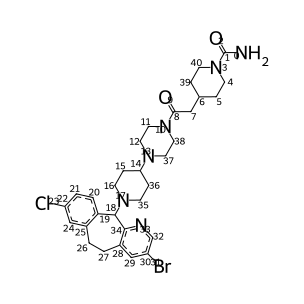 NC(=O)N1CCC(CC(=O)N2CCN(C3CCN(C4c5ccc(Cl)cc5CCc5cc(Br)cnc54)CC3)CC2)CC1